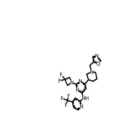 FC1(F)CN(c2nc(Nc3cc(C(F)(F)F)ccn3)cc(C3CCCN(Cc4cnco4)C3)n2)C1